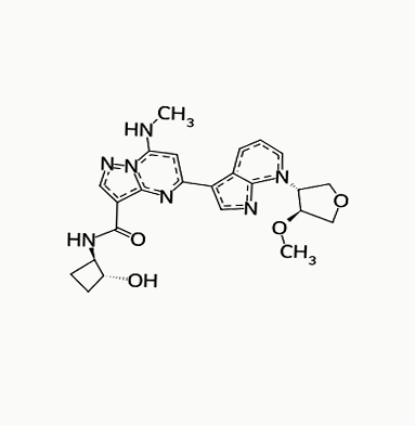 CNc1cc(-c2cnc3n([C@@H]4COC[C@H]4OC)cccc2-3)nc2c(C(=O)N[C@@H]3CC[C@H]3O)cnn12